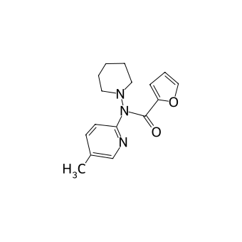 Cc1ccc(N(C(=O)c2ccco2)N2CCCCC2)nc1